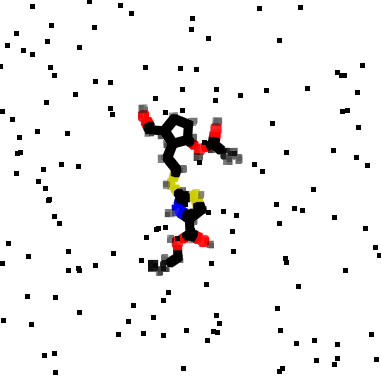 CCOC(=O)c1csc(SCCC2C(C=O)CCC2OC(C)=O)n1